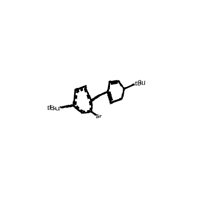 CC(C)(C)c1ccc(C2=CCC(C(C)(C)C)C=C2)c(Br)c1